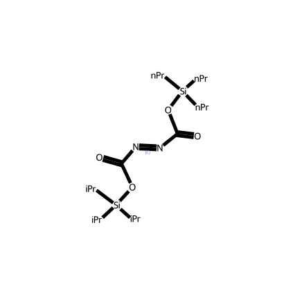 CCC[Si](CCC)(CCC)OC(=O)/N=N/C(=O)O[Si](C(C)C)(C(C)C)C(C)C